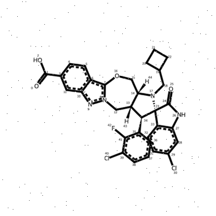 O=C(O)c1ccc2c3n(nc2c1)C[C@@H]1[C@H](CO3)N(CC2CCC2)[C@@]2(C(=O)Nc3cc(Cl)ccc32)[C@H]1c1cccc(Cl)c1F